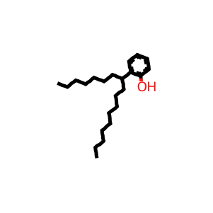 CCCCCCCCCC(CCCCCCC)c1ccccc1O